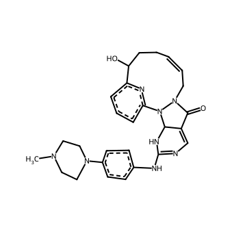 CN1CCN(c2ccc(NC3=NC=C4C(=O)N5C/C=C\CCC(O)c6cccc(n6)N5C4N3)cc2)CC1